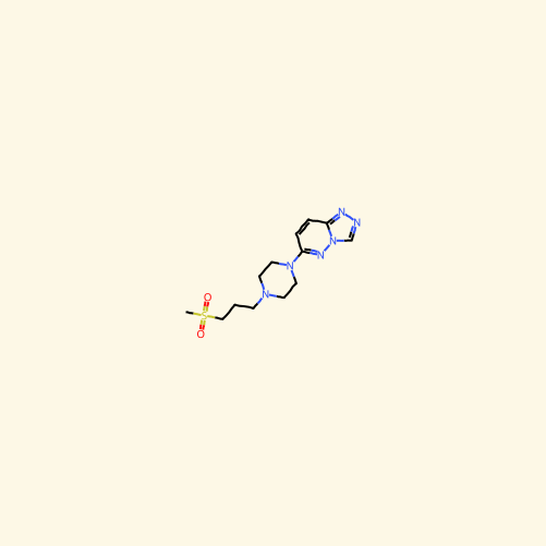 CS(=O)(=O)CCCN1CCN(c2ccc3nncn3n2)CC1